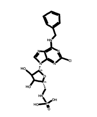 O=P(O)(O)NC[C@H]1O[C@@H](n2cnc3c(NCc4ccccc4)nc(Cl)nc32)C(O)C1O